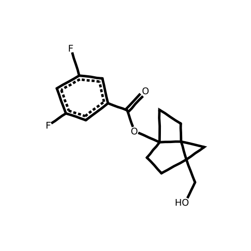 O=C(OC12CCC3(CO)CC31CC2)c1cc(F)cc(F)c1